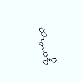 C(=Cc1ccc(C=Cc2ccc3ccccc3c2)s1)c1ccc(N(c2ccccc2)c2ccccc2)cc1